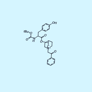 CC(C)(C)OC(=O)NC(Cc1ccc(O)cc1)C(=O)OC1C[N+]2(CC(=O)c3ccccc3)CCC1CC2